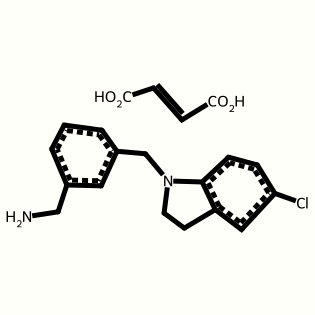 NCc1cccc(CN2CCc3cc(Cl)ccc32)c1.O=C(O)C=CC(=O)O